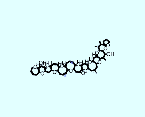 CC1C(O)C2OC3(CCCO3)C(C)[C@H](C)C2O[C@H]2C[C@H]3O[C@H]4C[C@H]5O[C@H]6/C=C\C[C@H]7O[C@H]8C=C[C@H]9O[C@@H]%10C(CC9OC8C/C=C\C7OC6CC6OC65OC4C[C@H](C)CC3OC12)OC1CC=CCO[C@@H]1[C@H]%10O